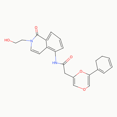 O=C(CC1=COC=C(C2=CC=CCC2)O1)Nc1cccc2c(=O)n(CCO)ccc12